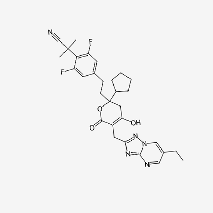 CCc1cnc2nc(CC3=C(O)CC(CCc4cc(F)c(C(C)(C)C#N)c(F)c4)(C4CCCC4)OC3=O)nn2c1